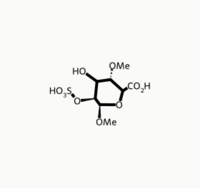 CO[C@@H]1C(C(=O)O)O[C@@H](OC)[C@@H](OS(=O)(=O)O)C1O